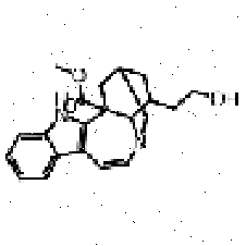 COC(=O)C12CC3CC(CCO)C1N(C=Cc1c2[nH]c2ccccc12)C3